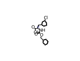 O=C(N/C(=C\c1cccc(Cl)c1)C(=O)O)OCc1ccccc1